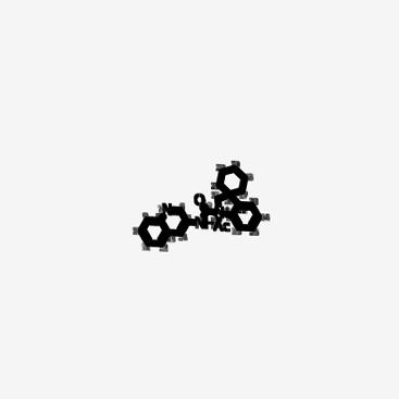 CC(=O)[N+]1(C(=O)Nc2cnc3ccccc3c2)CC2(CCCCC2)c2ccccc21